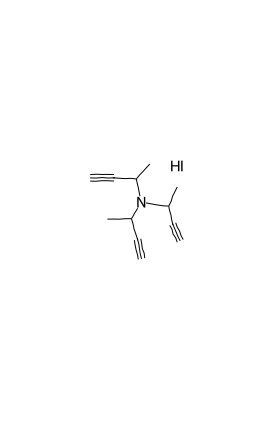 C#CC(C)N(C(C)C#C)C(C)C#C.I